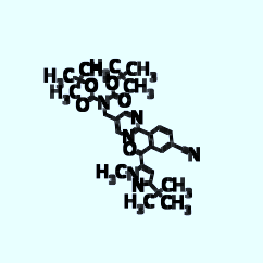 Cn1nc(C(C)(C)C)cc1C(=O)c1cc(C#N)ccc1-c1ncc(CN(C(=O)OC(C)(C)C)C(=O)OC(C)(C)C)cn1